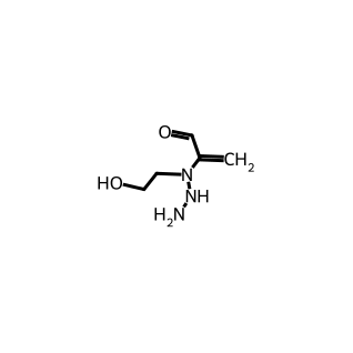 C=C(C=O)N(CCO)NN